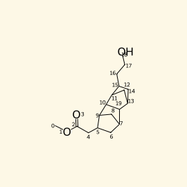 COC(=O)CC1CC2CC1C1C3CC(CC3CCO)C21